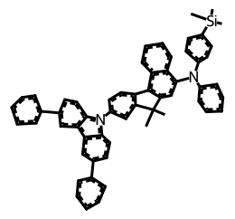 CC1(C)c2cc(-n3c4ccc(-c5ccccc5)cc4c4cc(-c5ccccc5)ccc43)ccc2-c2c1cc(N(c1ccccc1)c1ccc([Si](C)(C)C)cc1)c1ccccc21